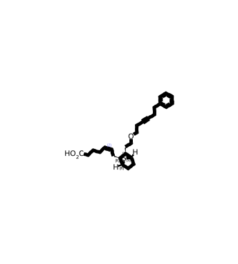 O=C(O)CCC/C=C\C[C@@H]1[C@H](CCOCCC#CCCc2ccccc2)[C@@H]2CC[C@H]1S2